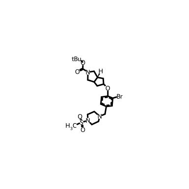 CC(C)(C)OC(=O)N1CC2CC(Oc3ccc(CN4CCN(S(C)(=O)=O)CC4)cc3Br)C[C@H]2C1